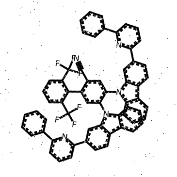 N#Cc1cc(-n2c3ccccc3c3ccc(-c4cccc(-c5ccccc5)n4)cc32)c(-n2c3ccccc3c3ccc(-c4cccc(-c5ccccc5)n4)cc32)cc1-c1c(C(F)(F)F)cccc1C(F)(F)F